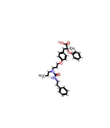 CCCN(CCCOc1ccc(C[C@](C)(Oc2ccccc2)C(=O)O)cc1)C(=O)NCCc1ccccc1